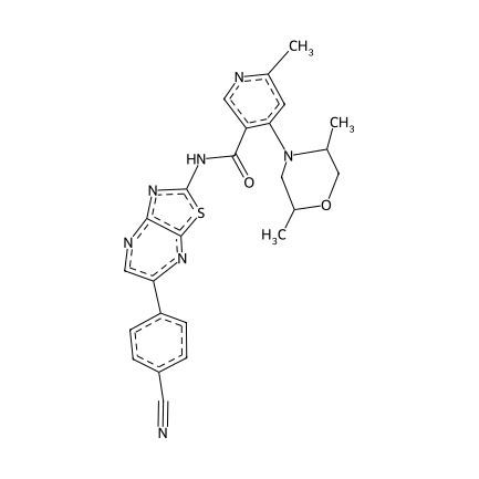 Cc1cc(N2CC(C)OCC2C)c(C(=O)Nc2nc3ncc(-c4ccc(C#N)cc4)nc3s2)cn1